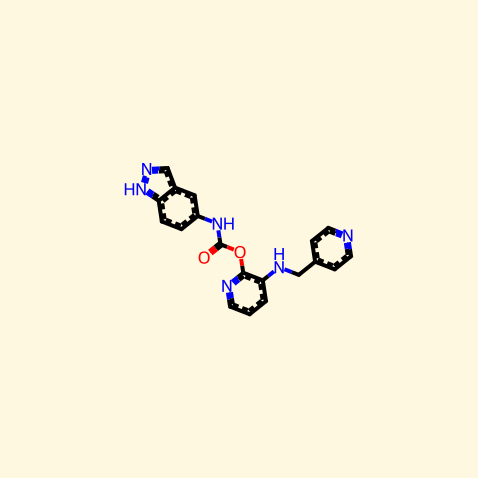 O=C(Nc1ccc2[nH]ncc2c1)Oc1ncccc1NCc1ccncc1